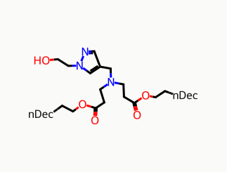 CCCCCCCCCCCCOC(=O)CCN(CCC(=O)OCCCCCCCCCCCC)Cc1cnn(CCO)c1